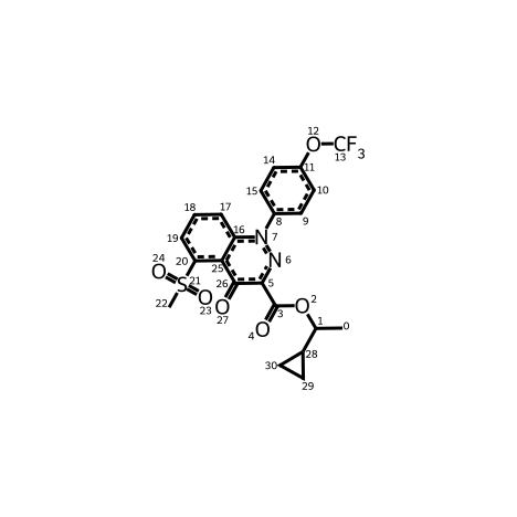 CC(OC(=O)c1nn(-c2ccc(OC(F)(F)F)cc2)c2cccc(S(C)(=O)=O)c2c1=O)C1CC1